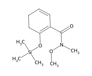 CON(C)C(=O)C1=C(O[Si](C)(C)C)CCC=C1